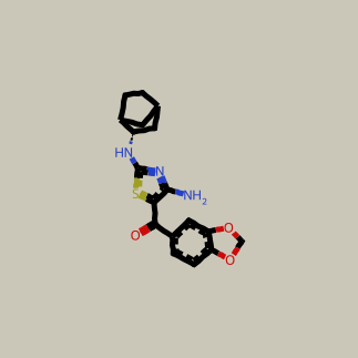 Nc1nc(N[C@H]2CC3CCC2C3)sc1C(=O)c1ccc2c(c1)OCO2